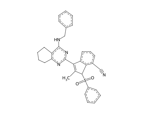 CC1=C(c2nc3c(c(NCc4ccccc4)n2)CCCC3)c2cccc(C#N)c2C1S(=O)(=O)c1ccccc1